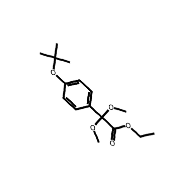 CCOC(=O)C(OC)(OC)c1ccc(OC(C)(C)C)cc1